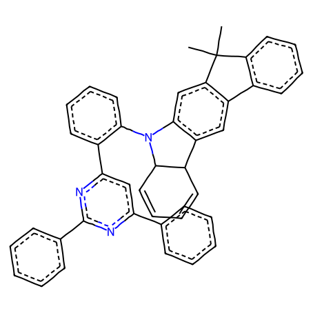 CC1(C)c2ccccc2-c2cc3c(cc21)N(c1ccccc1-c1cc(-c2ccccc2)nc(-c2ccccc2)n1)C1C=CC=CC31